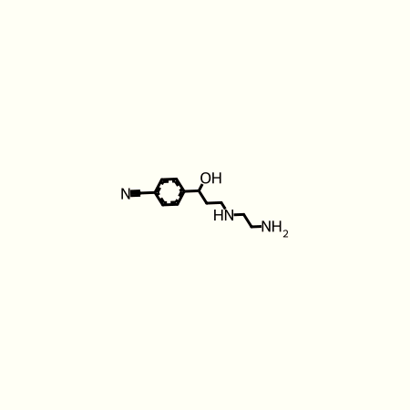 N#Cc1ccc(C(O)CCNCCN)cc1